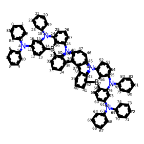 c1ccc(N(c2ccccc2)c2ccc3c(c2)N(c2ccccc2)c2cccc4c2B3c2cccc3c5c6c7cccc8c7n(c6ccc5n-4c23)-c2cccc3c2B8c2ccc(N(c4ccccc4)c4ccccc4)cc2N3c2ccccc2)cc1